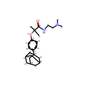 CN(C)CCNC(=O)C(C)(C)Oc1ccc(C23CC4CC(CC(C4)C2)C3)cc1